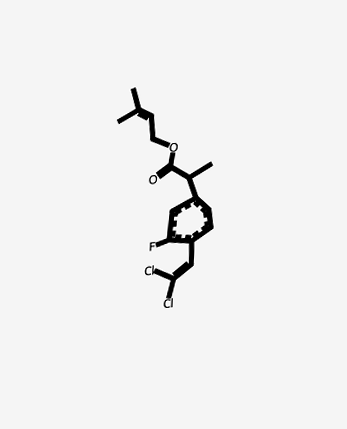 CC(C)=CCOC(=O)C(C)c1ccc(C=C(Cl)Cl)c(F)c1